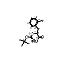 CC(C)(C)OC(=O)NC(Cc1ccccc1F)C(=O)O